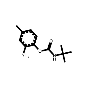 Cc1ccc(OC(=O)NC(C)(C)C)c(N)c1